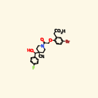 N#CC1(C(O)c2ccc(F)cc2)CCN(C(=O)COc2ccc(Br)cc2CC(=O)O)CC1